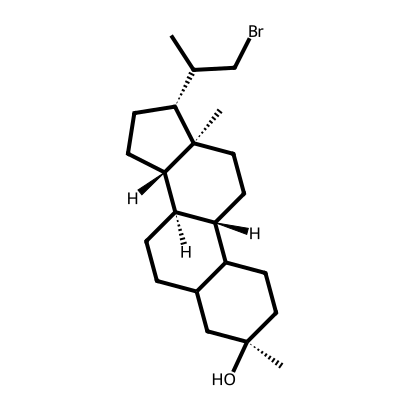 CC(CBr)[C@H]1CC[C@H]2[C@@H]3CCC4C[C@](C)(O)CCC4[C@H]3CC[C@]12C